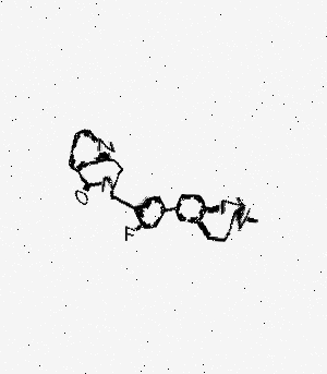 CN1CC=c2cc(-c3ccc(CN4Cc5ncccc5C4=O)c(F)c3)ccc2=N1